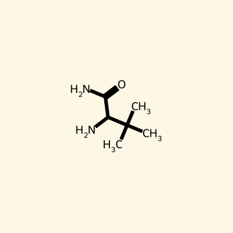 CC(C)(C)C(N)C(N)=O